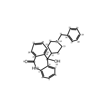 O=C1Nc2ccccc2C(O)(C2CCN(Cc3ccccc3)CC2)c2ccccc21